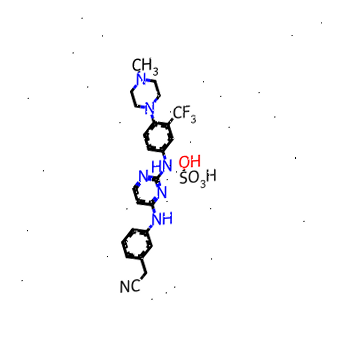 CN1CCN(c2ccc(Nc3nccc(Nc4cccc(CC#N)c4)n3)cc2C(F)(F)F)CC1.O=S(=O)(O)O